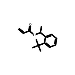 C=CC(=O)OC(C)c1ccccc1C(C)(C)C